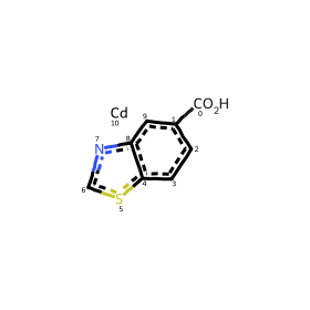 O=C(O)c1ccc2scnc2c1.[Cd]